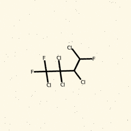 FC(Cl)C(Cl)C(Cl)(Cl)C(F)(F)Cl